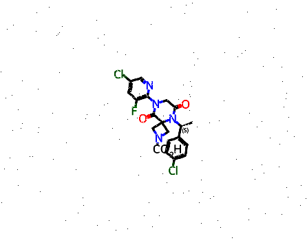 C[C@@H](c1ccc(Cl)cc1)N1C(=O)CN(c2ncc(Cl)cc2F)C(=O)C12CN(C(=O)O)C2